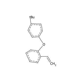 C=Cc1ccccc1Oc1ccc(C(C)(C)C)cc1